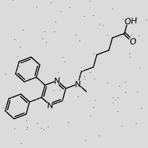 CN(CCCCCC(=O)O)c1cnc(-c2ccccc2)c(-c2ccccc2)n1